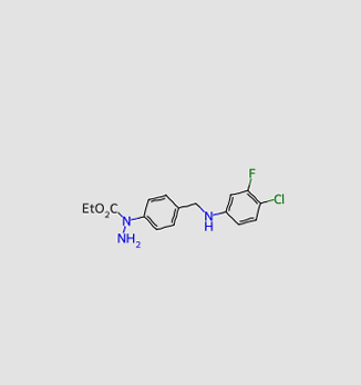 CCOC(=O)N(N)c1ccc(CNc2ccc(Cl)c(F)c2)cc1